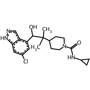 CC(C)(C1CCN(C(=O)NC2CC2)CC1)C(O)c1cc(Cl)cc2[nH]ncc12